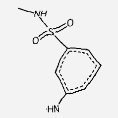 CNS(=O)(=O)c1cccc([NH])c1